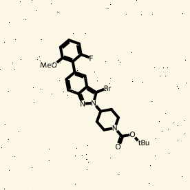 COc1cccc(F)c1-c1ccc2nn(C3CCN(C(=O)OC(C)(C)C)CC3)c(Br)c2c1